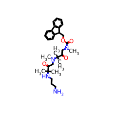 CN(CC(=O)C(C)(C)N(C)CC(=O)C(C)(C)NCCCN)C(=O)OCC1c2ccccc2-c2ccccc21